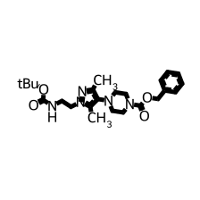 Cc1nn(CCNC(=O)OC(C)(C)C)c(C)c1N1CCN(C(=O)OCc2ccccc2)CC1